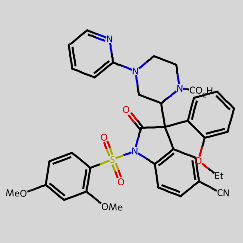 CCOc1ccccc1C1(C2CN(c3ccccn3)CCN2C(=O)O)C(=O)N(S(=O)(=O)c2ccc(OC)cc2OC)c2ccc(C#N)cc21